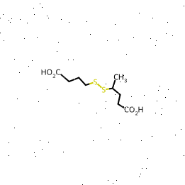 CC(CCC(=O)O)SSCCCC(=O)O